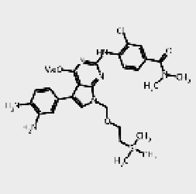 COc1nc(Nc2ccc(C(=O)N(C)C)cc2Cl)nc2c1c(-c1ccc(N)c(N)c1)cn2COCC[Si](C)(C)C